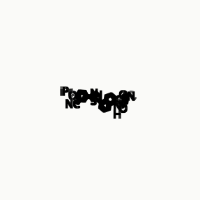 CC(C)Oc1ccc(-c2nnc(-c3cccc4c3CCC[C@@H]4NS(=O)(=O)CC(=O)N(C)C)s2)cc1C#N